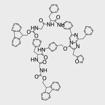 O=C(CNC(=O)OCC1c2ccccc2-c2ccccc21)NC(Cc1ccccc1)C(=O)Nc1ccc(COc2c(Cc3ccco3)nc3c(Cc4ccccc4)nc(-c4cccc(NC(=O)C(Cc5ccccc5)NC(=O)CNC(=O)OCC5c6ccccc6-c6ccccc65)c4)cn23)cc1